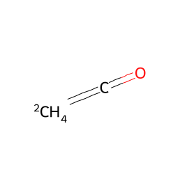 C=C=O.[2CH4]